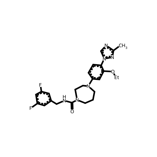 CCOc1cc(N2CCCN(C(=O)NCc3cc(F)cc(F)c3)CC2)ccc1-n1cnc(C)n1